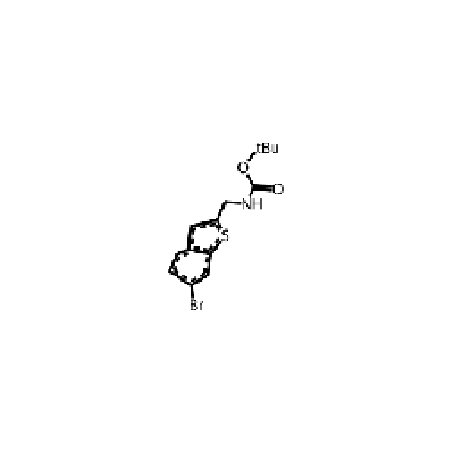 CC(C)(C)OC(=O)NCc1cc2ccc(Br)cc2s1